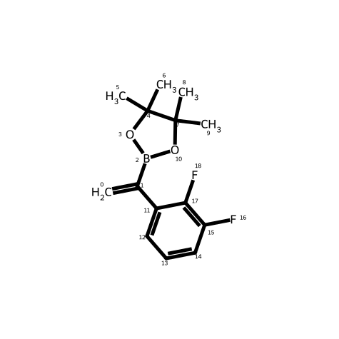 C=C(B1OC(C)(C)C(C)(C)O1)c1cccc(F)c1F